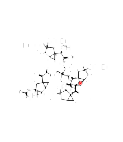 C=C(C(=O)OCC(COC(=O)C(=C)C12CC1CC(C(=O)OCC)(C(=O)OCC)C2)(COC(=O)C(=C)C12CC1CC(C(=O)OCC)(C(=O)OCC)C2)COC(=O)C(=C)C12CC1CC(C(=O)OCC)(C(=O)OCC)C2)C12CC1CC(CC)(OC(=O)CC)C2